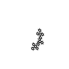 c1ccc(-c2c3ccccc3c(-c3ccc4c(c3)sc3c5sc6cc(-c7c8ccccc8c(-c8ccccc8)c8ccccc78)ccc6c5c5ccccc5c43)c3ccccc23)cc1